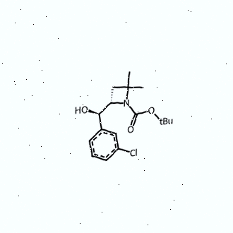 CC(C)(C)OC(=O)N1[C@H]([C@H](O)c2cccc(Cl)c2)CC1(C)C